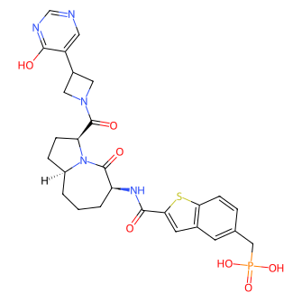 O=C(N[C@H]1CCC[C@H]2CC[C@@H](C(=O)N3CC(c4cncnc4O)C3)N2C1=O)c1cc2cc(CP(=O)(O)O)ccc2s1